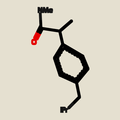 CNC(=O)C(C)c1ccc(CC(C)C)cc1